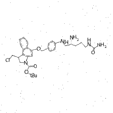 CC(C)(C)OC(=O)N1CC(CCl)c2c1cc(OCc1ccc(NC[C@H](N)CCCNC(N)=O)cc1)c1ccccc21